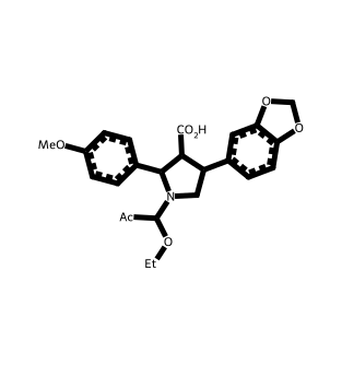 CCOC(C(C)=O)N1CC(c2ccc3c(c2)OCO3)C(C(=O)O)C1c1ccc(OC)cc1